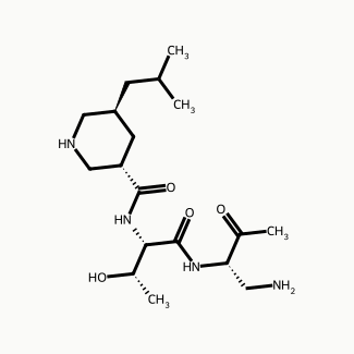 CC(=O)[C@H](CN)NC(=O)[C@@H](NC(=O)[C@@H]1CNC[C@@H](CC(C)C)C1)[C@H](C)O